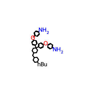 CCCCC1CCC(CC2CCC(c3ccc(Oc4ccc(N)cc4)cc3)(c3ccc(Oc4ccc(N)cc4)cc3)CC2)CC1